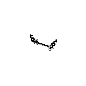 CC(C)Cc1ccc([C@H](C)C(=O)OCCCCCCCCOC(=O)[C@H](C)c2ccc(CC(C)C)cc2)cc1